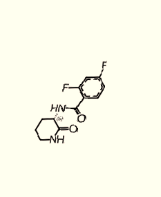 O=C(N[C@H]1CCCNC1=O)c1ccc(F)cc1F